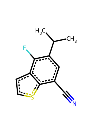 CC(C)c1cc(C#N)c2sccc2c1F